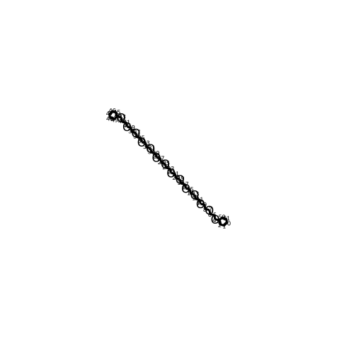 c1ccc(OCCOCCOCCOCCOCCOCCOCCOCCOCCOCCOCCOCCOCCOc2ccccc2)cc1